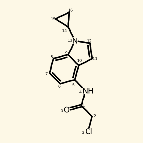 O=C(CCl)Nc1cccc2c1ccn2C1CC1